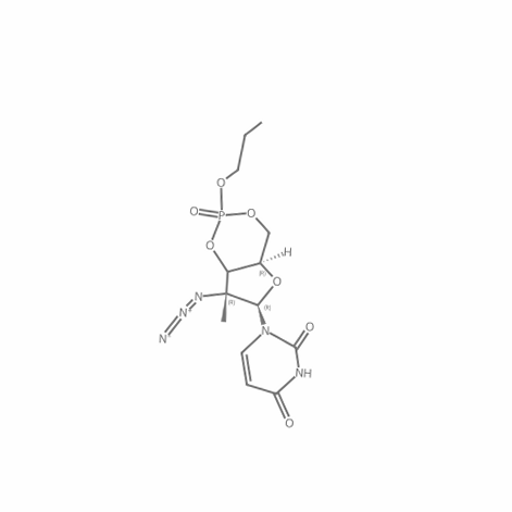 CCCOP1(=O)OC[C@H]2O[C@@H](n3ccc(=O)[nH]c3=O)[C@](C)(N=[N+]=[N-])C2O1